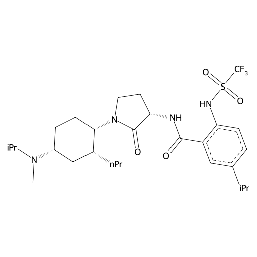 CCC[C@@H]1C[C@H](N(C)C(C)C)CC[C@@H]1N1CC[C@H](NC(=O)c2cc(C(C)C)ccc2NS(=O)(=O)C(F)(F)F)C1=O